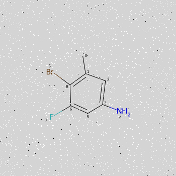 Cc1cc(N)cc(F)c1Br